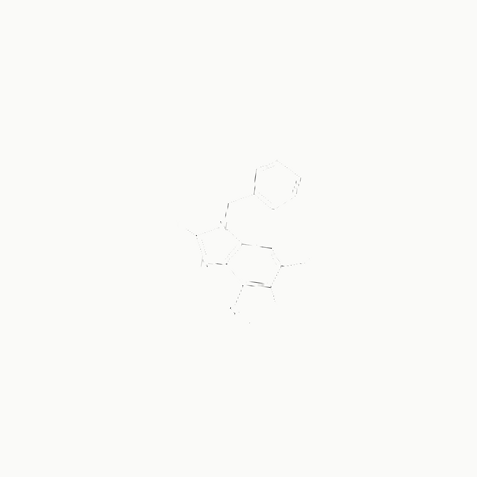 Cc1nc2c([N+](=O)[O-])c(Cl)c(Cl)cc2n1Cc1ccccc1